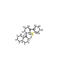 Cc1ccc2ccccc2c1-c1cccc2c1sc1ccccc12